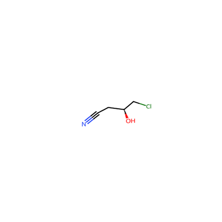 N#CC[C@H](O)CCl